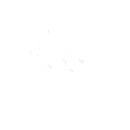 COc1cccc2c1NC(=O)[C@@H](NC(=O)[C@@H](CCC(F)(F)F)[C@@H](CCC(F)(F)F)C(N)=O)N=C2c1ccccc1